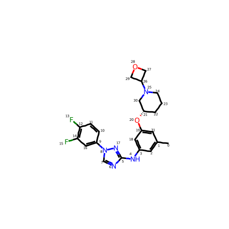 Cc1cc(Nc2ncn(-c3ccc(F)c(F)c3)n2)cc(O[C@H]2CCCN(C3COC3)C2)c1